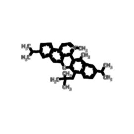 Cc1c2c(c(CC(C)(C)C)c3ccc(C(C)C)cc13)Oc1cc3cc(C(C)C)ccc3c3cc[n+](C)c-2c13